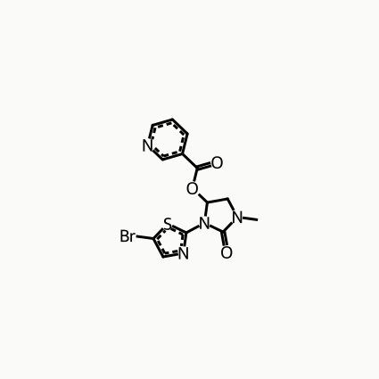 CN1CC(OC(=O)c2cccnc2)N(c2ncc(Br)s2)C1=O